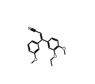 CCOc1cc(C(=CC#N)c2cccc(OC)c2)ccc1OC